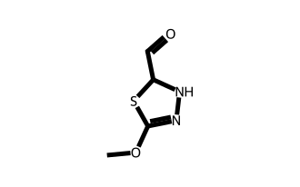 COC1=NNC(C=O)S1